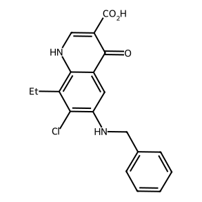 CCc1c(Cl)c(NCc2ccccc2)cc2c(=O)c(C(=O)O)c[nH]c12